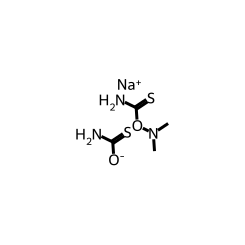 CN(C)OC(N)=S.NC([O-])=S.[Na+]